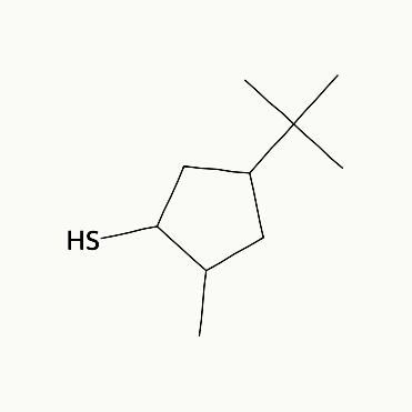 CC1CC(C(C)(C)C)CC1S